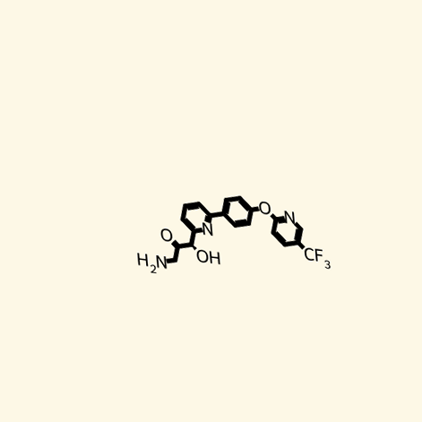 NCC(=O)[C@H](O)c1cccc(-c2ccc(Oc3ccc(C(F)(F)F)cn3)cc2)n1